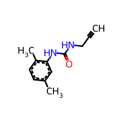 C#CCNC(=O)Nc1cc(C)ccc1C